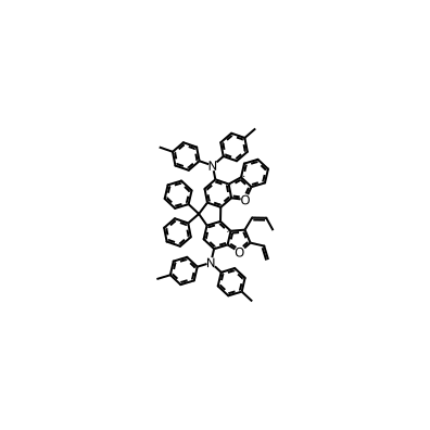 C=Cc1oc2c(N(c3ccc(C)cc3)c3ccc(C)cc3)cc3c(c2c1/C=C\C)-c1c(cc(N(c2ccc(C)cc2)c2ccc(C)cc2)c2c1oc1ccccc12)C3(c1ccccc1)c1ccccc1